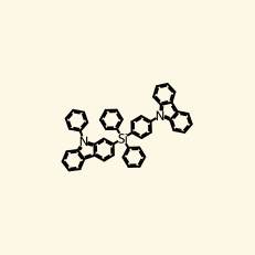 c1ccc(-n2c3ccccc3c3ccc([Si](c4ccccc4)(c4ccccc4)c4ccc(-n5c6ccccc6c6ccccc65)cc4)cc32)cc1